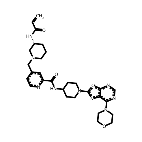 C=CC(=O)N[C@@H]1CCCN(Cc2ccnc(C(=O)NC3CCN(c4nc5c(N6CCOCC6)ncnc5o4)CC3)c2)C1